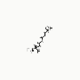 OCCCCCCCC(F)(F)C(F)(F)F